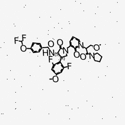 COCC(C(=O)N1CCCC1)n1cccc(N2C[C@@H](c3c(F)cc(OC)cc3F)[C@H](NC(=O)c3ccc(OC(F)F)cc3)C2=O)c1=O